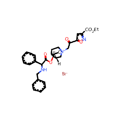 CCOC(=O)c1cc(C(=O)C[N+]23CCC(CC2)[C@@H](OC(=O)C(NCc2ccccc2)c2ccccc2)C3)on1.[Br-]